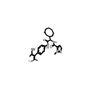 CC(=N)/C(=C(/C)N)c1ccc(NC(=O)C(NC(=O)c2ccnn2C)C2CCCCCCC2)cc1